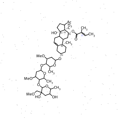 C/C=C(\C)C(=O)O[C@@H]1CC2C(CC=C3C[C@@H](OC4CC(OC)C(OC5CC(OC)C(OC6OC(C)C(O)CC6(O)COC)C(C)O5)C(C)O4)CC[C@@]32C)[C@@]2(O)CCC(C(C)=O)[C@@]12C